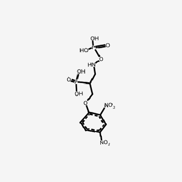 O=[N+]([O-])c1ccc(OCC(CNOP(=O)(O)O)P(=O)(O)O)c([N+](=O)[O-])c1